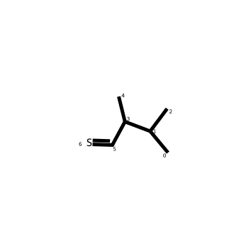 CC(C)C(C)C=S